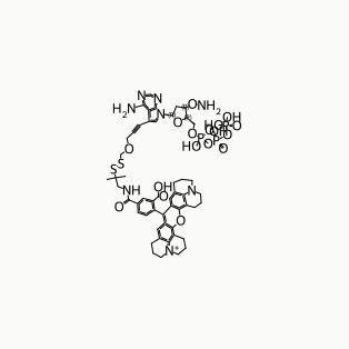 CC(C)(CNC(=O)c1ccc(C2=c3cc4c5c(c3Oc3c2cc2c6c3CCCN6CCC2)CCC[N+]=5CCC4)c(C(=O)O)c1)SSCOCC#Cc1cn([C@H]2C[C@@H](ON)[C@@H](COP(=O)(O)OP(=O)(O)OP(=O)(O)O)O2)c2ncnc(N)c12